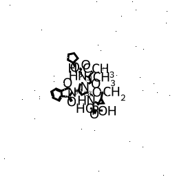 C=CC1CC1(NC(=O)[C@@H]1C[C@@H](N2C(=O)c3ccccc3C2=O)CN1C(=O)[C@@H](NC(=O)OC1CCCC1)C(C)(C)C)P(=O)(O)O